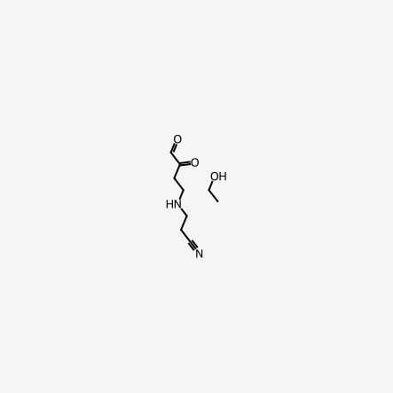 CCO.N#CCCNCCC(=O)C=O